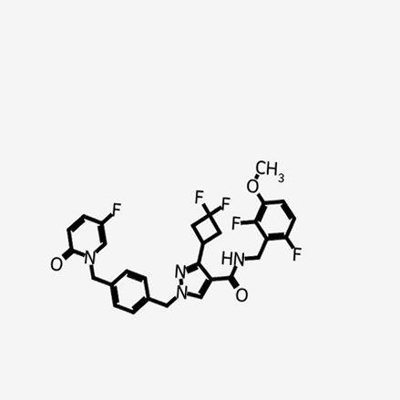 COc1ccc(F)c(CNC(=O)c2cn(Cc3ccc(Cn4cc(F)ccc4=O)cc3)nc2C2CC(F)(F)C2)c1F